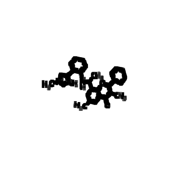 Cc1cc(C(C)Nc2ccccc2-c2c[n+](C)c[nH]2)c2oc(-c3ccccc3)c(C)c(=O)c2c1